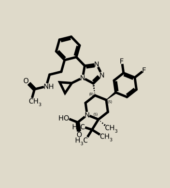 CC(=O)NCCc1ccccc1-c1nnc([C@H]2CN(C(=O)O)[C@](C)(C(C)(C)C)C[C@@H]2c2ccc(F)c(F)c2)n1C1CC1